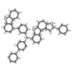 c1ccc(-c2ccc(N(c3cccc(-c4cccc5oc6ccccc6c45)c3)c3cccc4c3oc3ccc5oc(-c6ccccc6)nc5c34)cc2)cc1